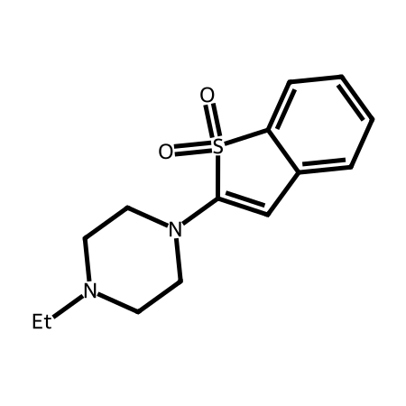 CCN1CCN(C2=Cc3ccccc3S2(=O)=O)CC1